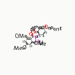 CCCCCOc1ccc(PC(=O)c2c(OC)cc(OC)cc2OC)c(OCCCCC)c1.[Li]